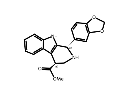 COC(=O)[C@@H]1CN[C@@H](c2ccc3c(c2)OCO3)c2[nH]c3ccccc3c21